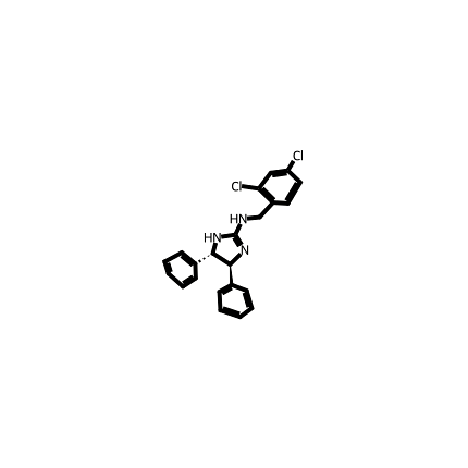 Clc1ccc(CNC2=N[C@@H](c3ccccc3)[C@H](c3ccccc3)N2)c(Cl)c1